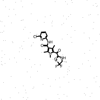 Cc1c(C(=O)Nc2cccc(Cl)n2)c(C)n(C)c1C(=O)C(=O)N[C@H](C)C(F)(F)F